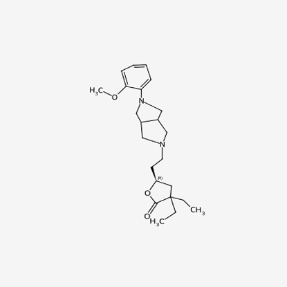 CCC1(CC)C[C@H](CCN2CC3CN(c4ccccc4OC)CC3C2)OC1=O